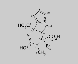 CC1C(O)=CC(C(=O)O)(c2nccs2)C(=O)C1(Br)C(=O)O